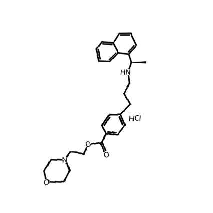 C[C@@H](NCCCc1ccc(C(=O)OCCN2CCOCC2)cc1)c1cccc2ccccc12.Cl